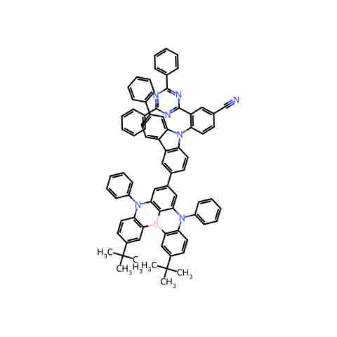 CC(C)(C)c1ccc2c(c1)B1c3cc(C(C)(C)C)ccc3N(c3ccccc3)c3cc(-c4ccc5c(c4)c4ccc(-c6ccccc6)cc4n5-c4ccc(C#N)cc4-c4nc(-c5ccccc5)nc(-c5ccccc5)n4)cc(c31)N2c1ccccc1